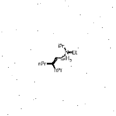 CCCC(=C[SiH2]N(CC)C(C)C)CCC